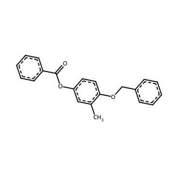 Cc1cc(OC(=O)c2ccccc2)ccc1OCc1ccccc1